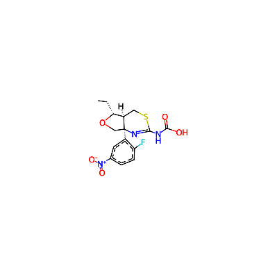 CC[C@H]1OC[C@]2(c3cc([N+](=O)[O-])ccc3F)N=C(NC(=O)O)SC[C@H]12